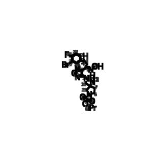 CC(C)OS(=O)(=O)N1CCC(N)(CNc2nonc2/C(=N/O)Nc2ccc(F)c(Br)c2)C1